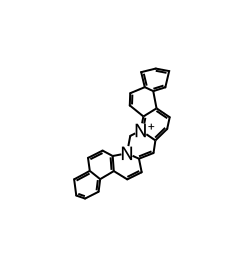 C1=Cc2c(ccc3ccccc23)N2C[n+]3c(ccc4c5ccccc5ccc43)C=C12